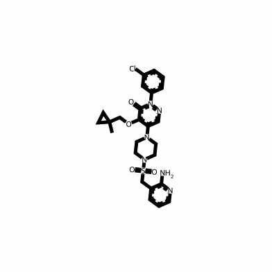 CC1(COc2c(N3CCN(S(=O)(=O)Cc4cccnc4N)CC3)cnn(-c3cccc(Cl)c3)c2=O)CC1